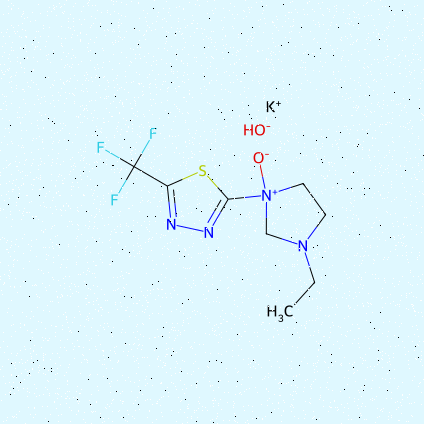 CCN1CC[N+]([O-])(c2nnc(C(F)(F)F)s2)C1.[K+].[OH-]